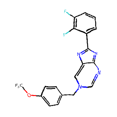 Fc1cccc(-c2nc3cn(Cc4ccc(OC(F)(F)F)cc4)cnc-3n2)c1F